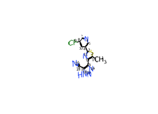 Cc1sc(-c2cncc(Cl)c2)nc1-c1nn[nH]c1C#N